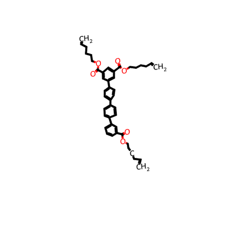 C=CCCCCOC(=O)c1cccc(-c2ccc(-c3ccc(-c4cc(C(=O)OCCCCC=C)cc(C(=O)OCCCCC=C)c4)cc3)cc2)c1